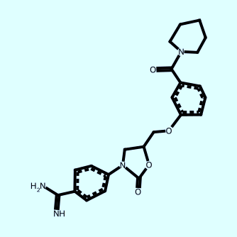 N=C(N)c1ccc(N2CC(COc3cccc(C(=O)N4CCCCC4)c3)OC2=O)cc1